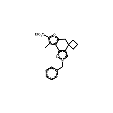 CCOC(=O)c1oc2c(c1C)-c1nn(Cc3ccccn3)cc1C1(CCC1)C2